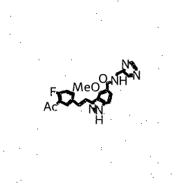 COc1c(C(=O)NCc2cnccn2)ccc2[nH]nc(/C=C/c3ccc(F)c(C(C)=O)c3)c12